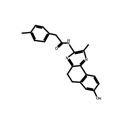 Cc1nc2c(nc1NC(=O)Cc1ccc(I)cc1)CCc1cc(O)ccc1-2